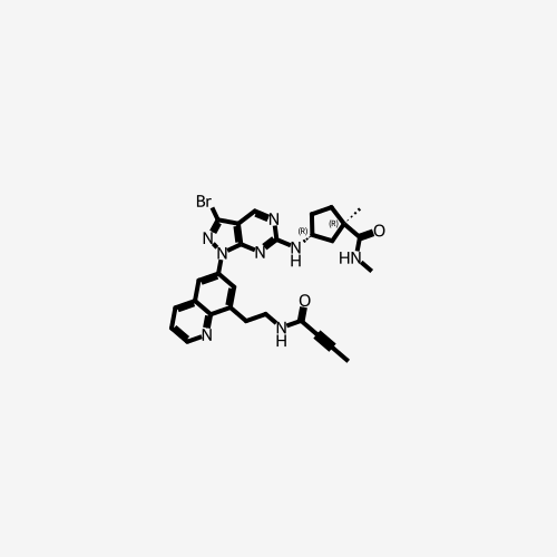 CC#CC(=O)NCCc1cc(-n2nc(Br)c3cnc(N[C@@H]4CC[C@@](C)(C(=O)NC)C4)nc32)cc2cccnc12